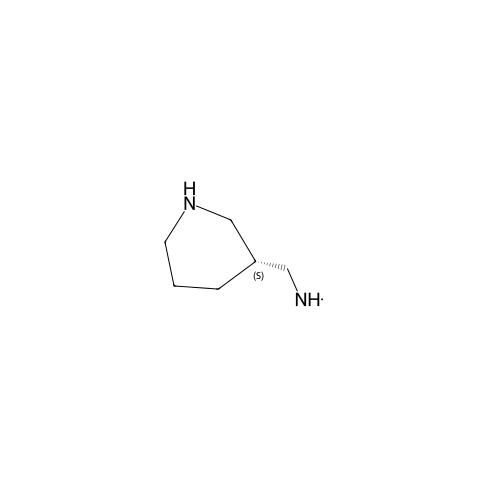 [NH]C[C@@H]1CCCNC1